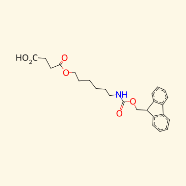 O=C(O)CCC(=O)OCCCCCCNC(=O)OCC1c2ccccc2-c2ccccc21